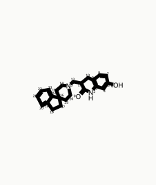 O=C1Nc2cc(O)ccc2CC1CN1CCC2(CCc3ccccc32)CC1